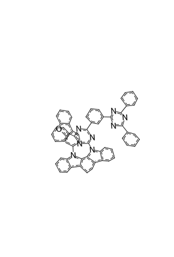 c1ccc(-c2nc(-c3ccccc3)nc(-c3cccc(-c4nc(-c5ccccc5)nc(-n5c6ccccc6c6ccc7c8ccccc8n(-c8ccc9c(c8)oc8ccccc89)c7c65)n4)c3)n2)cc1